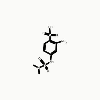 CN(C)S(=O)(=O)Nc1ccc(S(=O)(=O)O)c(N)c1